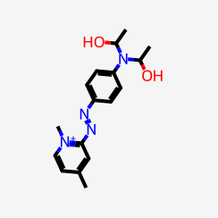 Cc1cc[n+](C)c(/N=N/c2ccc(N(C(C)O)C(C)O)cc2)c1